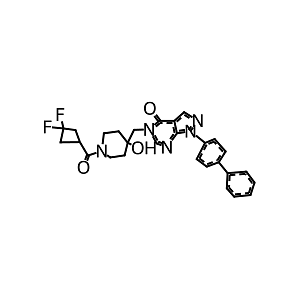 O=C(C1CC(F)(F)C1)N1CCC(O)(Cn2cnc3c(cnn3-c3ccc(-c4ccccc4)cc3)c2=O)CC1